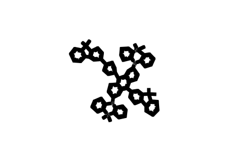 CC1(C)c2ccccc2-c2cc(-c3ccc(-c4c5ccc(N6c7ccccc7[Si](C)(C)c7ccccc76)cc5c(-c5ccc6c(c5)C(C)(C)c5ccccc5-6)c5ccc(N6c7ccccc7[Si](C)(C)c7ccccc76)cc45)cc3)ccc21